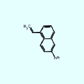 C=Cc1cccc2cc(CCC)ccc12